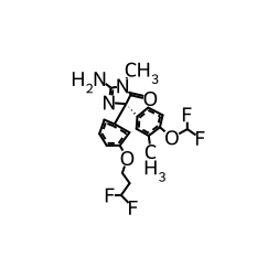 Cc1cc([C@]2(c3cccc(OCCC(F)F)c3)N=C(N)N(C)C2=O)ccc1OC(F)F